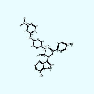 CCc1cccc2c(C(CC(=O)c3ccc(C(C)(C)C)cc3)C(=O)NC3CCC(Nc4nccc(N(C)C)n4)CC3)c[nH]c12